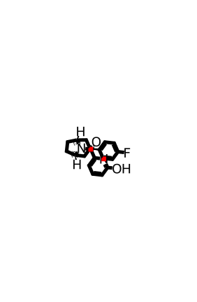 O=C(c1cccc(O)n1)N1[C@@H]2CC[C@H]1C[C@@H](c1ccc(F)cc1)C2